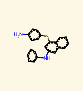 Nc1ccc(Sc2cc(Nc3ccccc3)cc3ccccc23)cc1